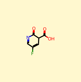 O=C(O)C1C=C(F)C=NC1=O